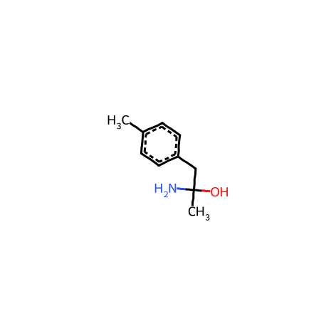 Cc1ccc(CC(C)(N)O)cc1